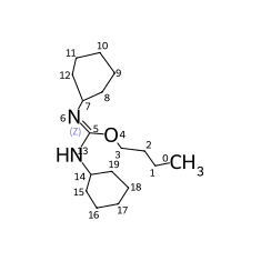 CCCCO/C(=N\C1CCCCC1)NC1CCCCC1